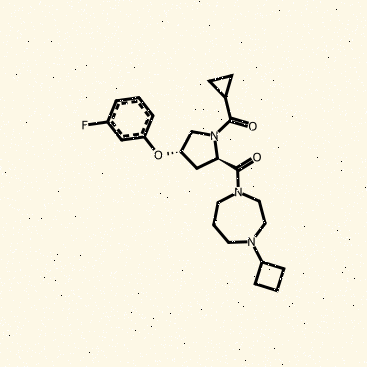 O=C([C@H]1C[C@H](Oc2cccc(F)c2)CN1C(=O)C1CC1)N1CCCN(C2CCC2)CC1